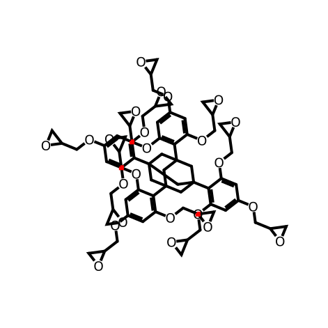 c1c(OCC2CO2)cc(OCC2CO2)c(C23CC4(c5c(OCC6CO6)cc(OCC6CO6)cc5OCC5CO5)CC(c5c(OCC6CO6)cc(OCC6CO6)cc5OCC5CO5)(C2)CC(c2c(OCC5CO5)cc(OCC5CO5)cc2OCC2CO2)(C3)C4)c1OCC1CO1